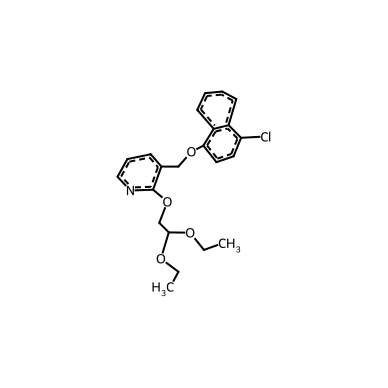 CCOC(COc1ncccc1COc1ccc(Cl)c2ccccc12)OCC